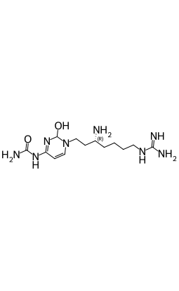 N=C(N)NCCCC[C@@H](N)CCN1C=CC(NC(N)=O)=NC1O